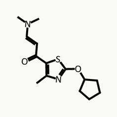 Cc1nc(OC2CCCC2)sc1C(=O)C=CN(C)C